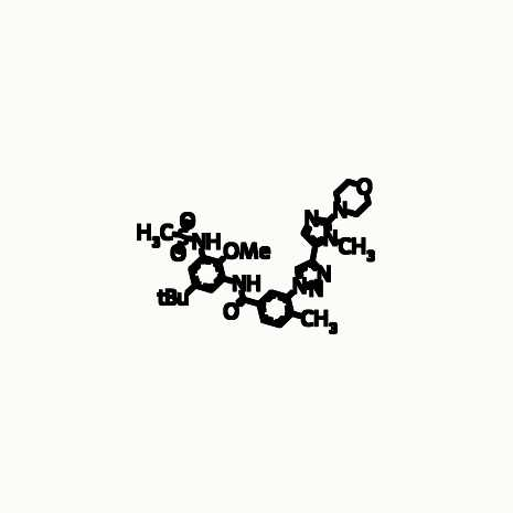 COc1c(NC(=O)c2ccc(C)c(-n3cc(-c4cnc(N5CCOCC5)n4C)nn3)c2)cc(C(C)(C)C)cc1NS(C)(=O)=O